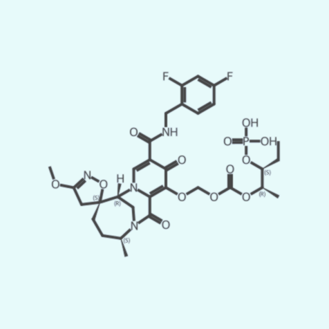 CC[C@H](OP(=O)(O)O)[C@@H](C)OC(=O)OCOc1c2n(cc(C(=O)NCc3ccc(F)cc3F)c1=O)[C@@H]1CN(C2=O)[C@@H](C)CC[C@]12CC(OC)=NO2